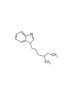 CCC(C)CCCC1C=Nc2ccccc21